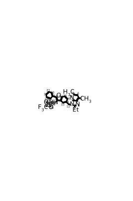 CCc1nc2c(C)cc(C)nc2n1Cc1ccc2oc(-c3ccccc3NS(=O)(=O)C(F)(F)F)c(Br)c2c1